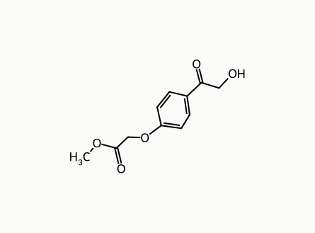 COC(=O)COc1ccc(C(=O)CO)cc1